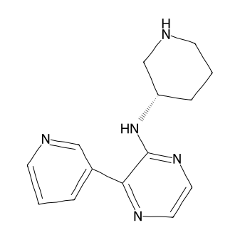 c1cncc(-c2nccnc2N[C@H]2CCCNC2)c1